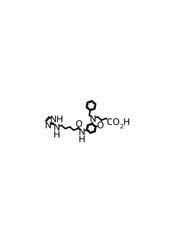 O=C(O)CC1CN(Cc2ccccc2)c2cc(NC(=O)CCCCNc3ncc[nH]3)ccc2O1